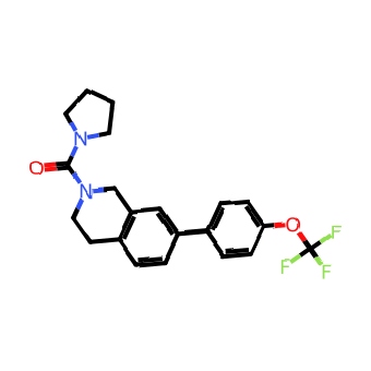 O=C(N1CCCC1)N1CCc2ccc(-c3ccc(OC(F)(F)F)cc3)cc2C1